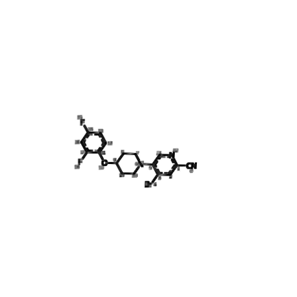 N#Cc1cc(Br)c(N2CCC(Oc3ccc(F)cc3F)CC2)cn1